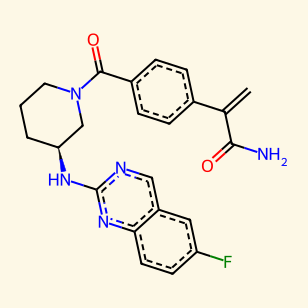 C=C(C(N)=O)c1ccc(C(=O)N2CCC[C@H](Nc3ncc4cc(F)ccc4n3)C2)cc1